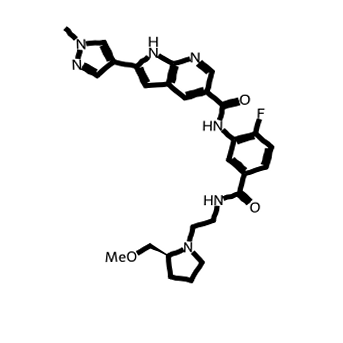 COC[C@@H]1CCCN1CCNC(=O)c1ccc(F)c(NC(=O)c2cnc3[nH]c(-c4cnn(C)c4)cc3c2)c1